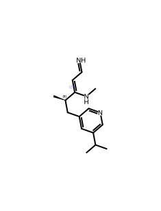 CN/C(=C\C=N)[C@H](C)Cc1cncc(C(C)C)c1